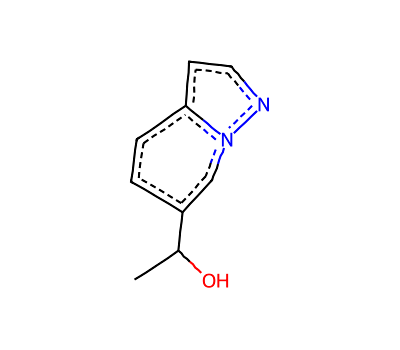 CC(O)c1ccc2ccnn2c1